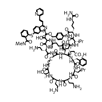 CNC(=O)c1ccccc1Sc1ccc2c(/C=C/c3ccccn3)nn(C(=O)OCc3ccc(NC(=O)[C@H](CCCNC(N)=O)NC(=O)[C@@H](NC(=O)[C@H](CCC(=O)O)NC(=O)CCC(=O)NC(C(=O)N[C@@H](CCN)C(=O)N[C@@H]4CCNC(=O)[C@@H]([C@H](C)O)NC(=O)[C@H](CCN)NC(=O)[C@H](CCN)NC(=O)[C@H](CC(C)C)NC(=O)[C@@H](Cc5ccccc5)NC(=O)[C@H](CCN)NC4=O)[C@H](C)O)C(C)C)cc3)c2c1